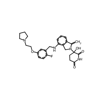 C=C1c2cccc(NCc3cc(OCCN4CCCC4)ccc3F)c2CN1C1(O)CCC(=O)NC1=O